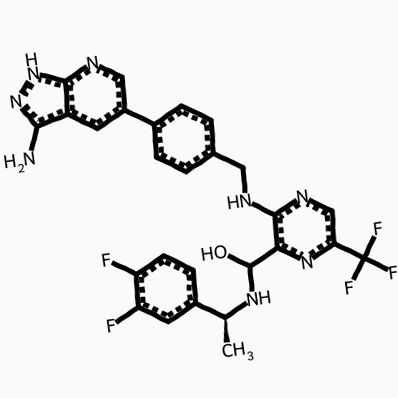 C[C@H](NC(O)c1nc(C(F)(F)F)cnc1NCc1ccc(-c2cnc3[nH]nc(N)c3c2)cc1)c1ccc(F)c(F)c1